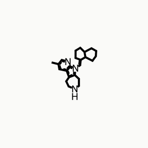 Cc1cnc2c(c1)c1c(n2/C=C2\CCCC3CCCCC23)CCNCC1